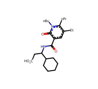 CCCCn1c(CCC)c(CC)cc(C(=O)NC(CC(=O)O)C2CCCCC2)c1=O